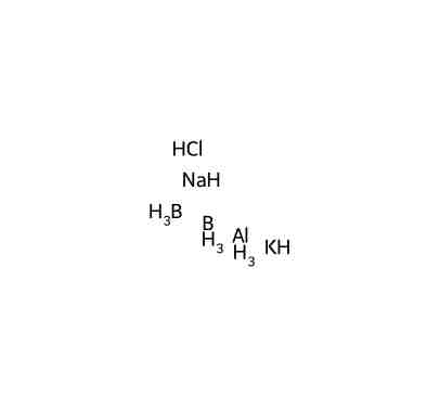 B.B.Cl.[AlH3].[KH].[NaH]